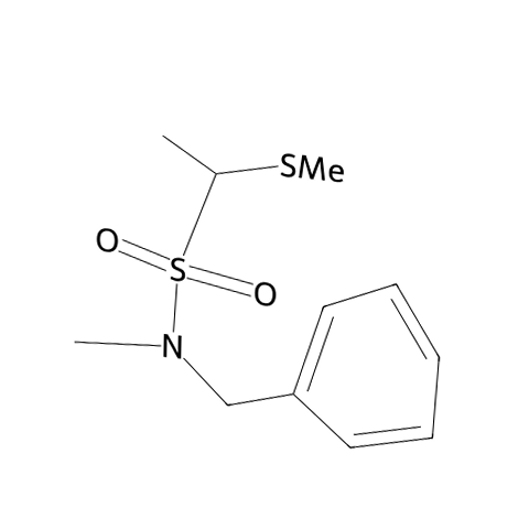 CSC(C)S(=O)(=O)N(C)Cc1ccccc1